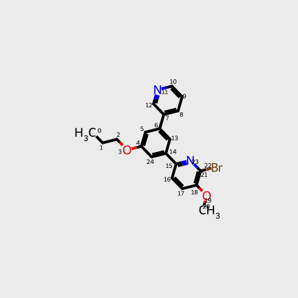 CCCOc1cc(-c2cccnc2)cc(-c2ccc(OC)c(Br)n2)c1